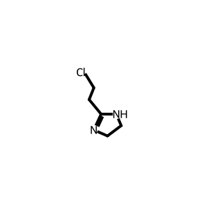 ClCCC1=NCCN1